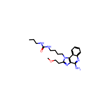 CCCNC(=O)NCCCCn1c(CCOC)nc2c(N)nc3ccccc3c21